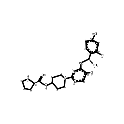 C[C@@H](Nc1nc(N2CCC(NC(=O)[C@H]3CCCN3)CC2)ncc1Cl)c1ccc(Cl)cc1Cl